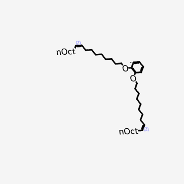 CCCCCCCC/C=C\CCCCCCCCOc1[c]cccc1OCCCCCCCC/C=C\CCCCCCCC